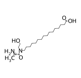 C[C@H](N)C(=O)N(CCO)CCCCCCCCCCCCCCCC(=O)O